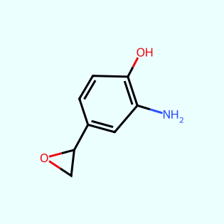 Nc1cc(C2CO2)ccc1O